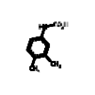 Cc1ccc(NC(=O)O)cc1C